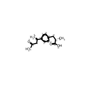 C=C(CC(C)=O)c1ccc(C[C@H](C)C(=O)O)cc1